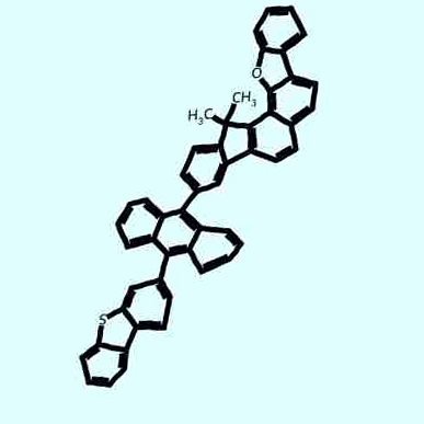 CC1(C)c2ccc(-c3c4ccccc4c(-c4ccc5c(c4)sc4ccccc45)c4ccccc34)cc2-c2ccc3ccc4c5ccccc5oc4c3c21